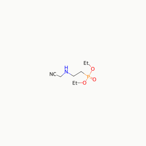 CCOP(=O)(CCNCC#N)OCC